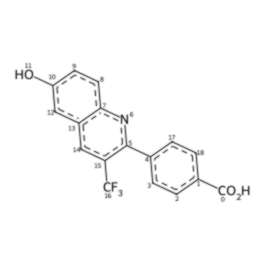 O=C(O)c1ccc(-c2nc3ccc(O)cc3cc2C(F)(F)F)cc1